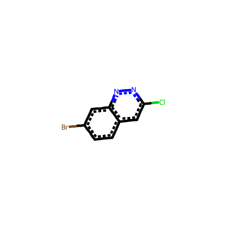 Clc1cc2ccc(Br)cc2nn1